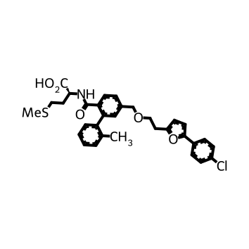 CSCC[C@H](NC(=O)c1ccc(COCCc2ccc(-c3ccc(Cl)cc3)o2)cc1-c1ccccc1C)C(=O)O